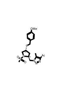 COc1ccc(CS[C@@H]2C[C@@H](Cn3nnc(C(C)=O)c3C)N(S(C)(=O)=O)C2)cc1